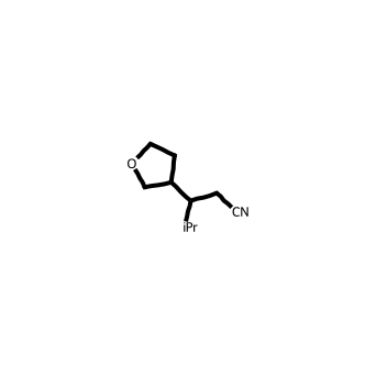 CC(C)C(CC#N)C1CCOC1